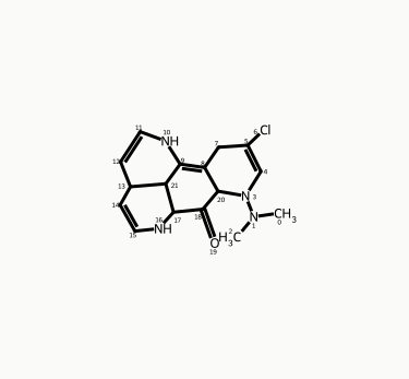 CN(C)N1C=C(Cl)CC2=C3NC=CC4C=CNC(C(=O)C21)C34